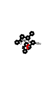 CC(C)(C)c1ccc(N2c3cc4c(cc3B3c5c(cc(-c6ccccc6)cc52)-c2cccc5c6c7ccccc7oc6n3c25)C(C)(C)c2ccccc2C4(C)C)c(-c2ccccc2)c1